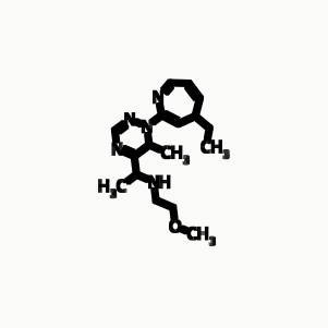 CCC1C=CC=NC(N2N=CN=C(C(C)NCCOC)C2C)=C1